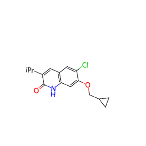 CC(C)c1cc2cc(Cl)c(OCC3CC3)cc2[nH]c1=O